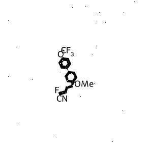 CO[C@]1(CCC=C(F)C#N)CC[C@H](c2ccc(OC(F)(F)F)cc2)CC1